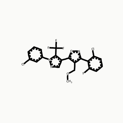 COCc1c(-c2c(F)cccc2Cl)noc1-c1cnn(-c2cccc(Cl)c2)c1C(F)(F)F